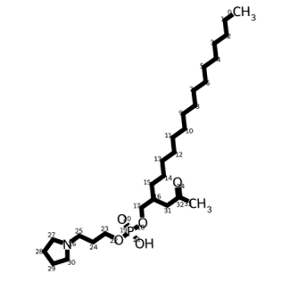 CCCCCCCCCCCCCCCCC(COP(=O)(O)OCCCN1CCCC1)CC(C)=O